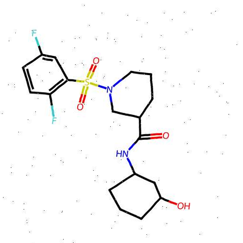 O=C(NC1CCCC(O)C1)C1CCCN(S(=O)(=O)c2cc(F)ccc2F)C1